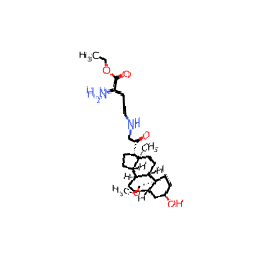 CCOC(=O)C(N)CCNCC(=O)[C@H]1CC[C@H]2[C@@H]3CC[C@H]4C[C@H](O)CC[C@]4(COC)[C@H]3CC[C@]12C